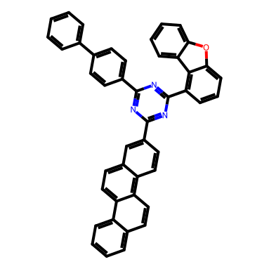 c1ccc(-c2ccc(-c3nc(-c4ccc5c(ccc6c7ccccc7ccc56)c4)nc(-c4cccc5oc6ccccc6c45)n3)cc2)cc1